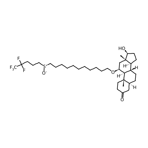 C[C@]12CCC(=O)C[C@@H]1CC[C@@H]1[C@@H]2[C@@H](OCCCCCCCCCCC[S+]([O-])CCCC(F)(F)C(F)(F)F)C[C@]2(C)[C@@H](O)CC[C@@H]12